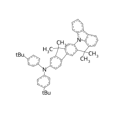 CC(C)(C)c1ccc(N(c2ccc(C(C)(C)C)cc2)c2ccc3c(c2)C(C)(C)c2cc4c(cc2-3)C(C)(C)c2cccc3c5ccccc5n-4c23)cc1